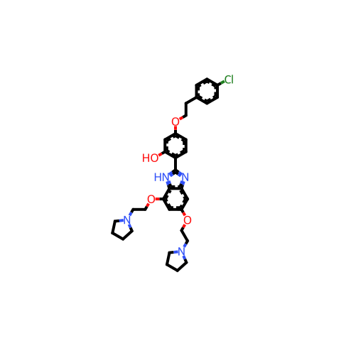 Oc1cc(OCCc2ccc(Cl)cc2)ccc1-c1nc2cc(OCCN3CCCC3)cc(OCCN3CCCC3)c2[nH]1